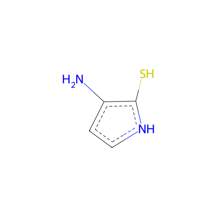 Nc1cc[nH]c1S